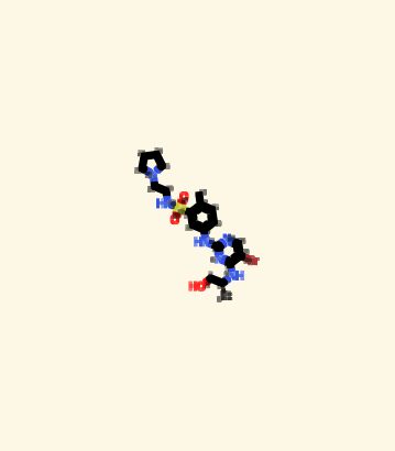 CC[C@H](CO)Nc1nc(Nc2ccc(C)c(S(=O)(=O)NCCN3CCCC3)c2)ncc1Br